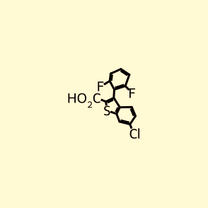 O=C(O)c1sc2cc(Cl)ccc2c1-c1c(F)cccc1F